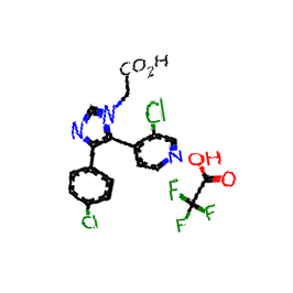 O=C(O)C(F)(F)F.O=C(O)Cn1cnc(-c2ccc(Cl)cc2)c1-c1ccncc1Cl